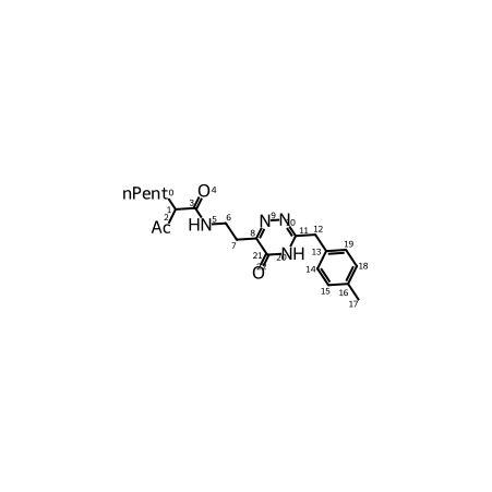 CCCCCC(C(C)=O)C(=O)NCCc1nnc(Cc2ccc(C)cc2)[nH]c1=O